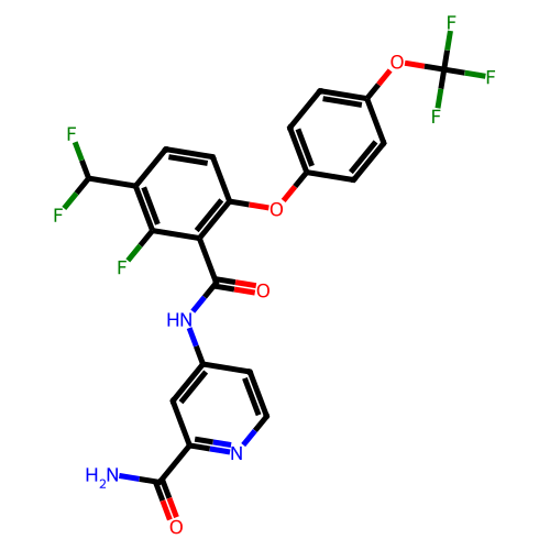 NC(=O)c1cc(NC(=O)c2c(Oc3ccc(OC(F)(F)F)cc3)ccc(C(F)F)c2F)ccn1